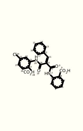 O=C(Nc1ccccc1C(=O)O)C(=Cc1ccccc1)C(=O)Nc1cc(Cl)ccc1C(=O)O